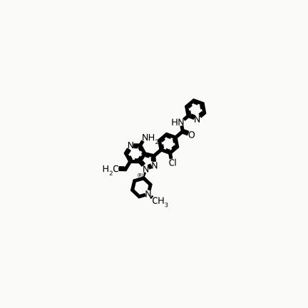 C=Cc1cnc(N)c2c(-c3ccc(C(=O)Nc4ccccn4)cc3Cl)nn([C@@H]3CCCN(C)C3)c12